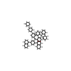 c1ccc(-c2ccc(-c3ccc(N(c4cc(-c5cccc6ccccc56)ccc4-c4cccc5ccccc45)c4cccc5c4-c4ccccc4C5(c4ccccc4)c4ccccc4)cc3)cc2)cc1